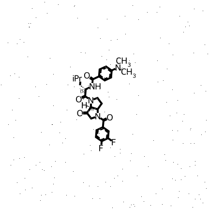 CC(C)C[C@H](NC(=O)c1ccc(N(C)C)cc1)C(=O)N1CCC2[C@H]1C(=O)CN2C(=O)c1ccc(F)c(F)c1